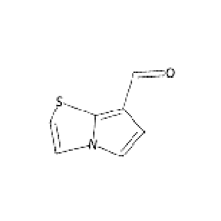 O=Cc1ccn2ccsc12